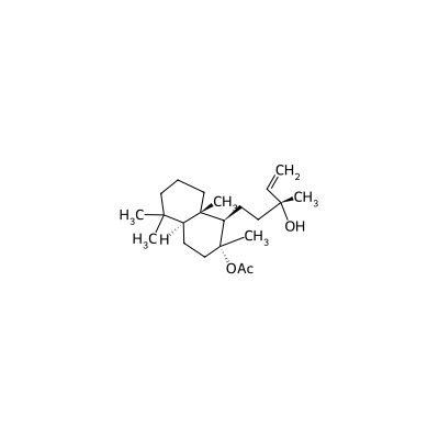 C=C[C@](C)(O)CC[C@@H]1[C@@]2(C)CCCC(C)(C)[C@@H]2CC[C@@]1(C)OC(C)=O